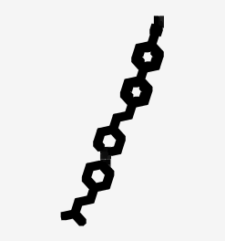 CC(C)CCC1CCC([SiH]2CCC(CCc3ccc(-c4ccc(C#N)cc4)cc3)CC2)CC1